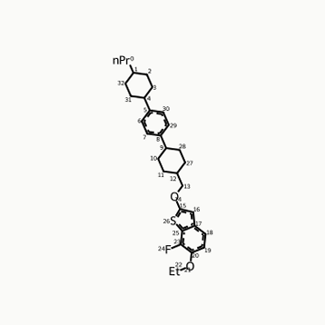 CCCC1CCC(c2ccc(C3CCC(COc4cc5ccc(OCC)c(F)c5s4)CC3)cc2)CC1